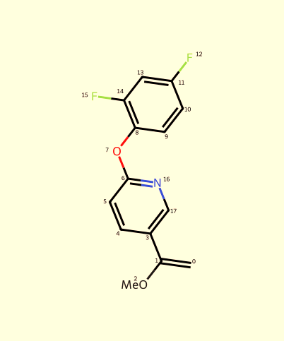 C=C(OC)c1ccc(Oc2ccc(F)cc2F)nc1